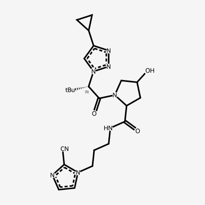 CC(C)(C)[C@@H](C(=O)N1CC(O)CC1C(=O)NCCCn1ccnc1C#N)n1cc(C2CC2)nn1